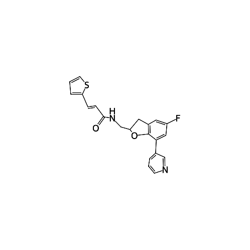 O=C(C=Cc1cccs1)NCC1Cc2cc(F)cc(-c3cccnc3)c2O1